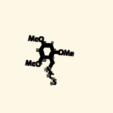 COc1cc(OC)c(CN=C=S)c(OC)c1